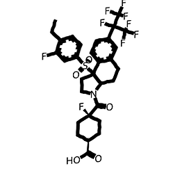 CCc1ccc(S(=O)(=O)C23CCN(C(=O)[C@]4(F)CC[C@@H](C(=O)O)CC4)C2CCc2cc(C(F)(C(F)(F)F)C(F)(F)F)ccc23)cc1F